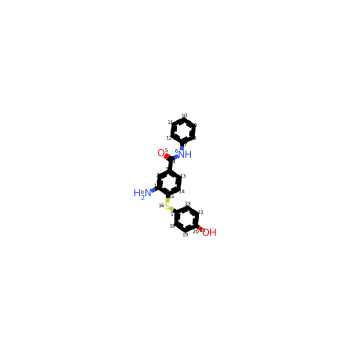 Nc1cc(C(=O)Nc2ccccc2)ccc1Sc1ccc(O)cc1